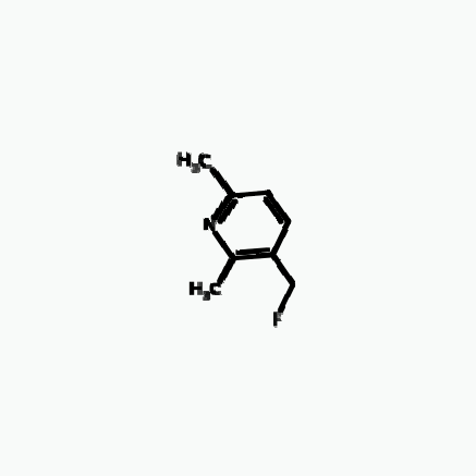 Cc1ccc(CF)c(C)n1